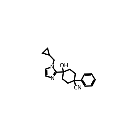 N#CC1(c2ccccc2)CCC(O)(c2nccn2CC2CC2)CC1